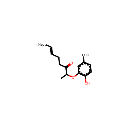 CCCCCCCC=CCCC(=O)C(C)Oc1cc(C=O)ccc1O